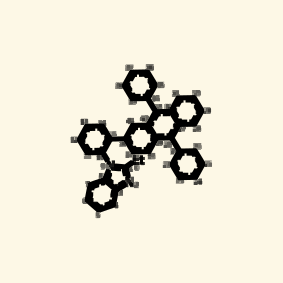 CCc1nc2ccccc2n1-c1ccccc1-c1ccc2c(-c3ccccc3)c3ccccc3c(-c3ccccc3)c2c1